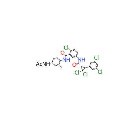 CC(=O)Nc1ccc(NC(=O)c2cc(NC(=O)[C@@H]3[C@@H](c4cc(Cl)cc(Cl)c4)C3(Cl)Cl)ccc2Cl)c(C)c1